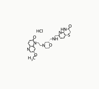 COc1cnc2ccc(=O)n(CCN3CCO[C@@H](CNCc4ccc5c(n4)NC(=O)CS5)C3)c2c1.Cl